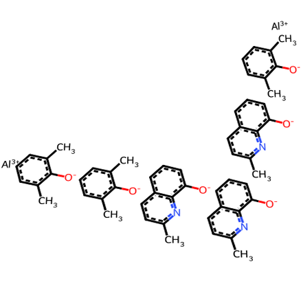 Cc1ccc2cccc([O-])c2n1.Cc1ccc2cccc([O-])c2n1.Cc1ccc2cccc([O-])c2n1.Cc1cccc(C)c1[O-].Cc1cccc(C)c1[O-].Cc1cccc(C)c1[O-].[Al+3].[Al+3]